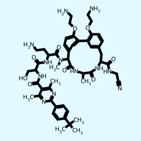 Cc1nc(-c2ccc(C(C)(C)C)cc2)nc(C)c1C(=O)NC(CO)C(=O)NC(CCN)C(=O)N(C)C1C(=O)NC(C)C(=O)NC(C(=O)NCC#N)Cc2ccc(OCCN)c(c2)-c2cc1ccc2OCCN